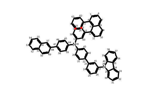 c1ccc(-c2cccc3cccc(-c4cccc(N(c5ccc(-c6cccc(-n7c8ccccc8c8ccccc87)c6)cc5)c5ccc(-c6ccc7ccccc7c6)cc5)c4)c23)cc1